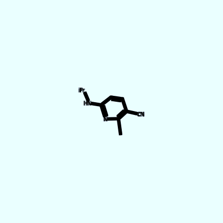 Cc1nc(NC(C)C)ccc1C#N